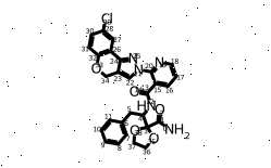 NC(=O)C1(C(Cc2ccccc2)NC(=O)c2cccnc2-n2cc3c(n2)-c2cc(Cl)ccc2OC3)OCCO1